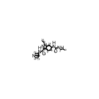 CCCNC(=O)Nc1ccc2c(C(=O)NC3CN4CCC3CC4)nn(CC)c2c1